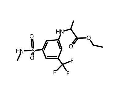 CCOC(=O)C(C)Nc1cc(C(F)(F)F)cc(S(=O)(=O)NC)c1